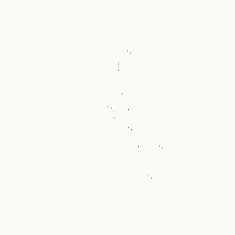 CC(C)(ON=C(C(=O)N[C@@H]1C(=O)N2C(C(=O)[O-])=C(C[N+](C)(C)Cc3cc(=O)c(O)c[nH]3)CS[C@@H]12)c1nsc(N)n1)C(=O)O